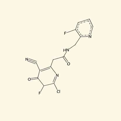 N#CC1=C(CC(=O)NCc2ncccc2F)N=C(Cl)C(F)C1=O